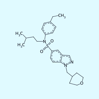 CCc1ccc(N(CCC(C)C)S(=O)(=O)c2ccc3c(cnn3CC3CCOCC3)c2)cc1